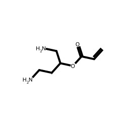 C=CC(=O)OC([CH]CN)CN